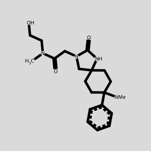 CNC1(c2ccccc2)CCC2(CC1)CN(CC(=O)N(C)CCO)C(=O)N2